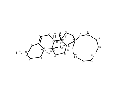 C[C@]12CC[C@H](O)CC1=CC[C@@H]1[C@@H]2CC[C@@]2(C)[C@H]1CCC21OOCCCCCOO1